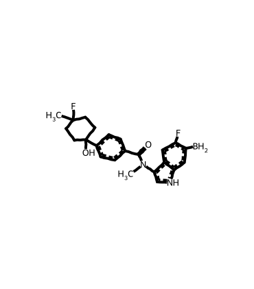 Bc1cc2[nH]cc(N(C)C(=O)c3ccc(C4(O)CCC(C)(F)CC4)cc3)c2cc1F